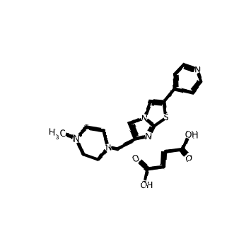 CN1CCN(Cc2cn3cc(-c4ccncc4)sc3n2)CC1.O=C(O)C=CC(=O)O